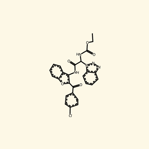 CCOC(=O)NC(C(=O)Nc1c(C(=O)c2ccc(Cl)cc2)oc2ccccc12)n1nnc2ccccc21